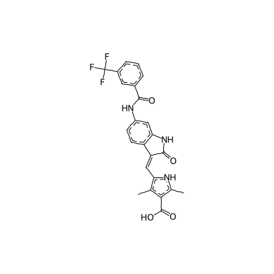 Cc1[nH]c(C=C2C(=O)Nc3cc(NC(=O)c4cccc(C(F)(F)F)c4)ccc32)c(C)c1C(=O)O